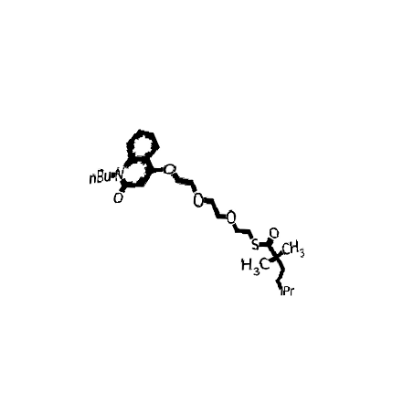 CCCCn1c(=O)cc(OCCOCCOCCSC(=O)C(C)(C)CCC(C)C)c2ccccc21